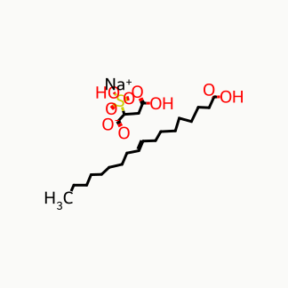 CCCCCCCCC=CCCCCCCCC(=O)O.O=C(O)CC(C(=O)[O-])S(=O)(=O)O.[Na+]